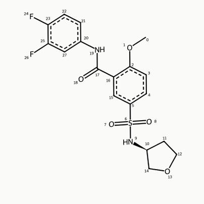 COc1ccc(S(=O)(=O)N[C@H]2CCOC2)cc1C(=O)Nc1ccc(F)c(F)c1